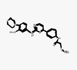 CCCCOCC(=O)Nc1ccc(-c2ccnc(Nc3ccc(N4CCOCC4)c(OC)c3)n2)cc1